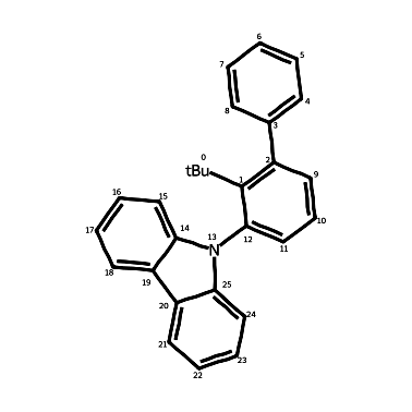 CC(C)(C)c1c(-c2ccccc2)cccc1-n1c2ccccc2c2ccccc21